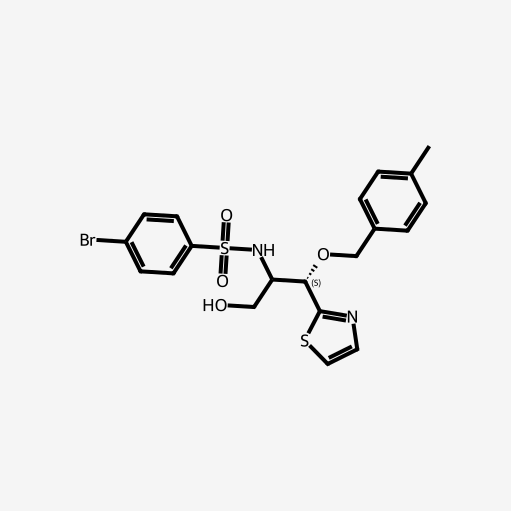 Cc1ccc(CO[C@H](c2nccs2)C(CO)NS(=O)(=O)c2ccc(Br)cc2)cc1